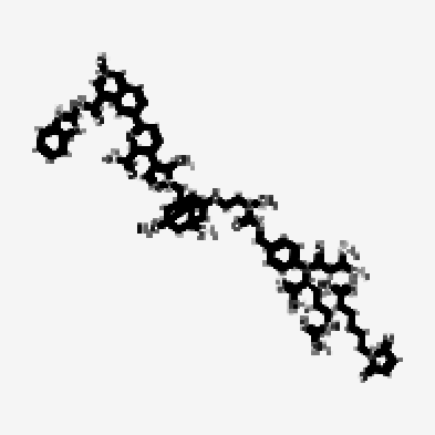 Cc1c(-c2ccc(-c3ccc4c[n+]([O-])cc(C(=O)Nc5nc6ccccc6s5)c4c3)nc2C(=O)O)cnn1CC12CC3(C)CC(C)(C1)CC(OCCN(C)C(=O)OCc1ccc(N(C(=O)[C@@H](NC(=O)CCCCCN4C(=O)C=CC4=O)C(C)C)[C@@H](CCCNC(N)=O)C(N)=O)cc1)(C3)C2